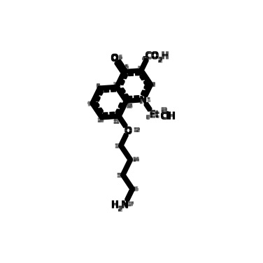 CCn1cc(C(=O)O)c(=O)c2cccc(OCCCCN)c21.Cl